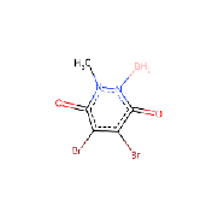 Bn1c(=O)c(Br)c(Br)c(=O)n1C